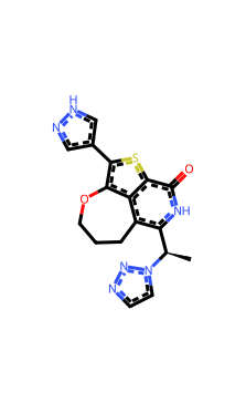 C[C@H](c1[nH]c(=O)c2sc(-c3cn[nH]c3)c3c2c1CCCO3)n1ccnn1